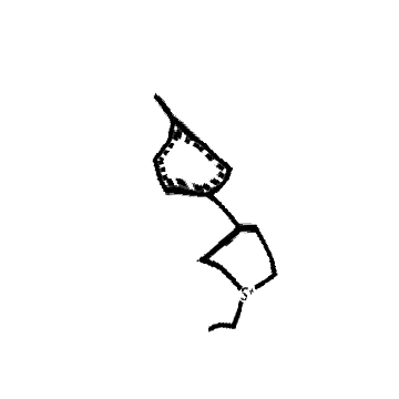 CC[S+]1CCC(c2ccc(C)cc2)C1